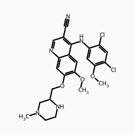 COc1cc(Nc2c(C#N)cnc3cc(OCC4CN(C)CCN4)c(OC)cc23)c(Cl)cc1Cl